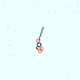 CCCCCCCCOc1ccc2c(c1)C=CS2(=O)=O